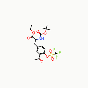 CCOC(=O)[C@H](Cc1ccc(OS(=O)(=O)C(F)(F)F)c(C(C)=O)c1)NC(=O)OC(C)(C)C